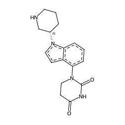 O=C1CCN(c2cccc3c2ccn3[C@H]2CCCNC2)C(=O)N1